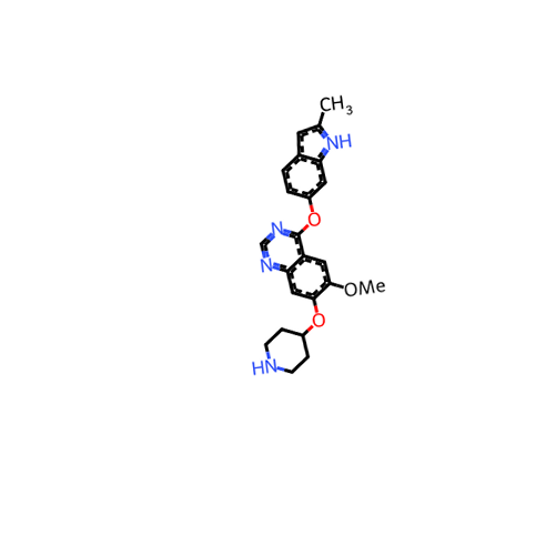 COc1cc2c(Oc3ccc4cc(C)[nH]c4c3)ncnc2cc1OC1CCNCC1